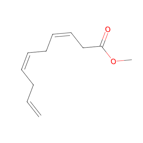 C=CC/C=C\C/C=C\CC(=O)OC